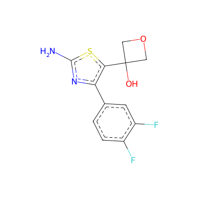 Nc1nc(-c2ccc(F)c(F)c2)c(C2(O)COC2)s1